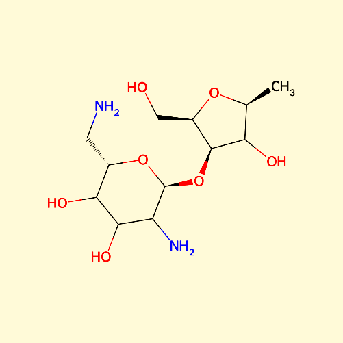 C[C@@H]1O[C@H](CO)[C@H](O[C@@H]2O[C@@H](CN)C(O)C(O)C2N)C1O